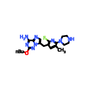 CCCCOc1nc(N)c2ncc(Cc3cc(C)c(N4CCNCC4)nc3F)n2n1